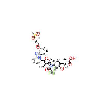 CCc1nc2c(OCCCS(C)(=O)=O)cccc2n1-c1cccc2c1OC[C@H]2N(C(=O)C(F)(F)F)c1ccc2c(c1)OC[C@H]2CC(=O)O